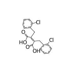 O=C(O)/C(Cc1ccccc1Cl)=C(/Cc1ccccc1Cl)C(=O)O